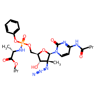 CC(C)OC(=O)[C@H](C)NP(=O)(OC[C@H]1O[C@@H](n2ccc(NC(=O)C(C)C)nc2=O)[C@](C)(N=[N+]=[N-])[C@@H]1O)Oc1ccccc1